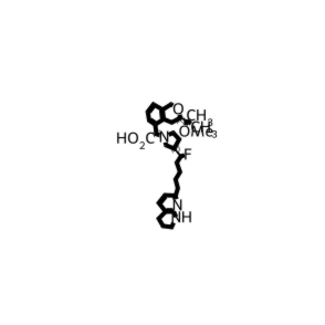 COC(C)(C)[C@H]1Cc2c(cccc2[C@@H](C(=O)O)N2CC[C@@H](C(F)CCCCc3ccc4c(n3)NCCC4)C2)CO1